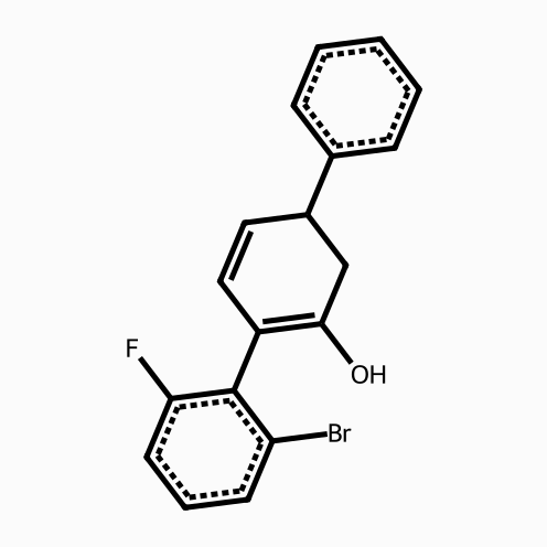 OC1=C(c2c(F)cccc2Br)C=CC(c2ccccc2)C1